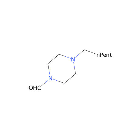 CCCCCCN1CCN([C]=O)CC1